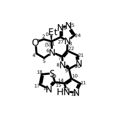 CC[C@]12COCCN1c1nc(-c3cn[nH]c3-c3nccs3)ncc1-n1cnnc12